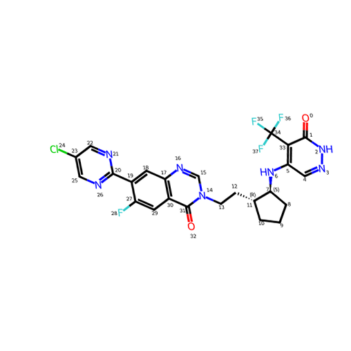 O=c1[nH]ncc(N[C@H]2CCC[C@@H]2CCn2cnc3cc(-c4ncc(Cl)cn4)c(F)cc3c2=O)c1C(F)(F)F